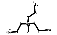 CC(C)(C)C[CH2][Sn]([CH3])([CH2]CC(C)(C)C)[CH2]CC(C)(C)C